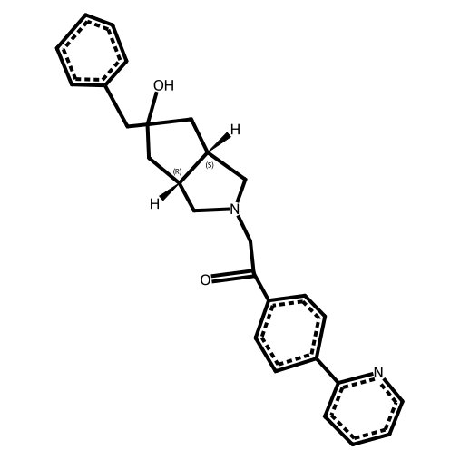 O=C(CN1C[C@@H]2CC(O)(Cc3ccccc3)C[C@@H]2C1)c1ccc(-c2ccccn2)cc1